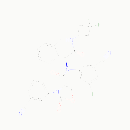 N#Cc1cc(F)cc(N(C(=O)[C@@H]2COC(=O)N2c2cccc(C#N)c2)[C@H](C(=O)NC2CC(F)(F)C2)c2ccccc2I)c1